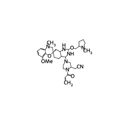 C=CC(=O)N1CCN(C2NC(OCC3CCCN3C)NC3C[C@]4(CCC32)CN(C)c2cccc(OC)c2O4)CC1CC#N